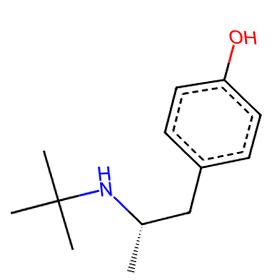 C[C@@H](Cc1ccc(O)cc1)NC(C)(C)C